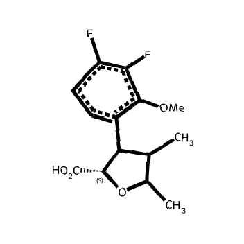 COc1c(C2C(C)C(C)O[C@@H]2C(=O)O)ccc(F)c1F